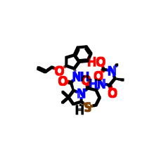 C=CCO[C@@H]1Cc2ccccc2[C@@H]1NC(=O)[C@H]1N2C(=O)[C@@H](NC(=O)[C@H](C)N(C)C(=O)O)CCS[C@H]2CC1(C)C